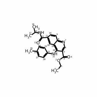 CCOC(=O)c1cnc2ccc(C(=O)NC(C)C)cc2c1Nc1ccc(C)cc1